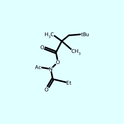 CCC(=O)N(OC(=O)C(C)(C)CC(C)(C)C)C(C)=O